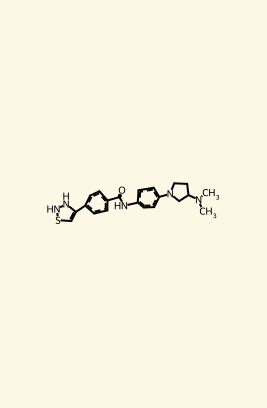 CN(C)C1CCN(c2ccc(NC(=O)c3ccc(C4=CSNN4)cc3)cc2)C1